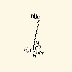 CCCCC=CCCCCCCCCCCC(C)(C)NCCC